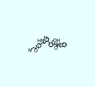 N#CCC(=O)N1CC=C(c2cc3c(-c4cccc(NC(=O)N5Cc6ccccc6C5)c4CO)ccnc3[nH]2)CC1